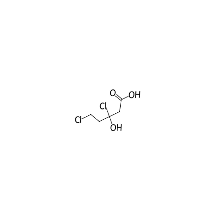 O=C(O)CC(O)(Cl)CCCl